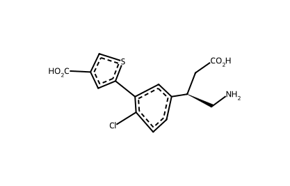 NC[C@H](CC(=O)O)c1ccc(Cl)c(-c2cc(C(=O)O)cs2)c1